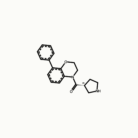 O=C([C@@H]1CCNC1)N1CCOc2c(-c3ccccc3)cccc21